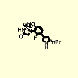 CCC[C@@H]1C=C(c2ccc(O)c(N3CC(=O)NS3(=O)=O)c2F)CN1